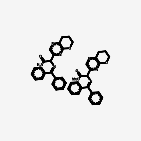 COC(=O)C(N=C(c1ccccc1)c1ccccc1)c1cnc2c(n1)OCCC2.NC(=O)C(N=C(c1ccccc1)c1ccccc1)c1cnc2c(n1)OCCC2